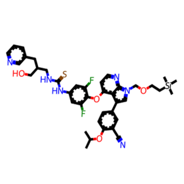 CC(C)Oc1ccc(-c2cn(COCC[Si](C)(C)C)c3nccc(Oc4c(F)cc(NC(=S)NCC(CO)Cc5cccnc5)cc4F)c23)cc1C#N